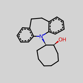 O[C@H]1CCCCCC[C@H]1N1c2ccccc2CCc2ccccc21